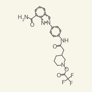 NC(=O)c1cccc2cn(-c3ccc(NC(=O)CC4CCCN(OC(=O)C(F)(F)F)C4)cc3)nc12